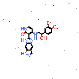 COc1ccc(C(O)CNc2cc[nH]c(=O)c2-c2nc3cc4cn[nH]c4cc3[nH]2)cc1Br